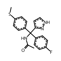 CSc1ccc(C(NC(C)=O)(c2ccc(F)cc2)c2cc[nH]n2)cc1